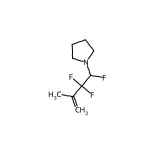 C=C(C)C(F)(F)C(F)N1CCCC1